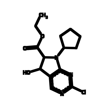 CCOC(=O)C1C(O)c2cnc(Cl)nc2N1C1CCCC1